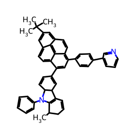 CC1CC=CC2=C1N(c1ccccc1)C1C=CC(c3cc(-c4ccc(-c5cccnc5)cc4)c4ccc5cc(C(C)(C)C)cc6ccc3c4c65)=CC21